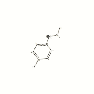 CSNc1ccc(C)cc1